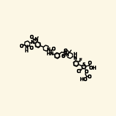 Cn1c(=O)n(C2CCC(=O)NC2=O)c2ccc(C3CCN(C(=O)Nc4cccc(CS(=O)(=O)N5CC[C@@H](Nc6cccc(-c7sc(C(=O)O)c(OCC(=O)O)c7Cl)c6F)CC5(C)C)c4)CC3)cc21